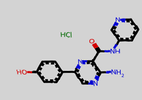 Cl.Nc1ncc(-c2ccc(O)cc2)nc1C(=O)Nc1cccnc1